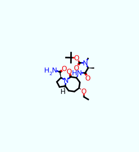 CCO[C@@H]1CC[C@H]2CC[C@@H](C(N)=O)N2C(=O)[C@@H](NC(=O)[C@H](C)N(C)C(=O)OC(C)(C)C)C1